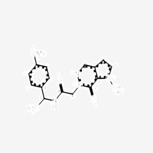 COc1ccc(C(C)NC(=O)Cn2ncc3ccn(C)c3c2=O)cc1